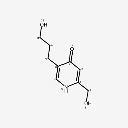 O=c1cc(CO)[nH]cc1CCCO